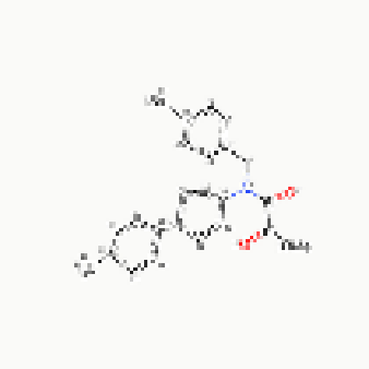 COC(=O)C(=O)N(Cc1ccc(C(C)(C)C)cc1)c1ccc(-c2ccc(C)cc2)cc1